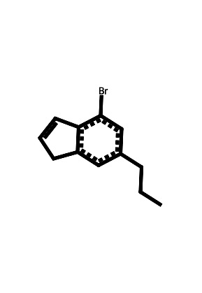 CCCc1cc(Br)c2c(c1)CC=C2